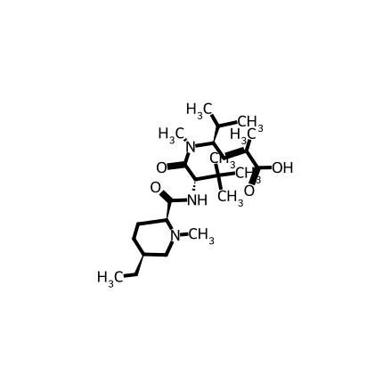 CC[C@H]1CC[C@@H](C(=O)N[C@H](C(=O)N(C)[C@H](/C=C(\C)C(=O)O)C(C)C)C(C)(C)C)N(C)C1